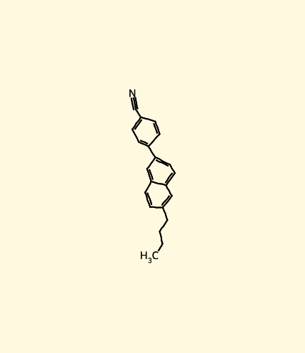 CCCCc1ccc2cc(-c3ccc(C#N)cc3)ccc2c1